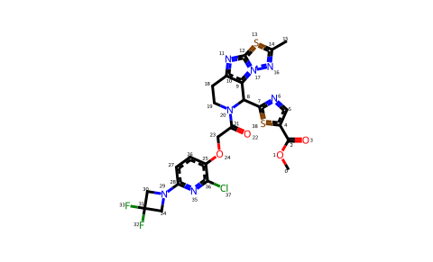 COC(=O)c1cnc(C2c3c(nc4sc(C)nn34)CCN2C(=O)COc2ccc(N3CC(F)(F)C3)nc2Cl)s1